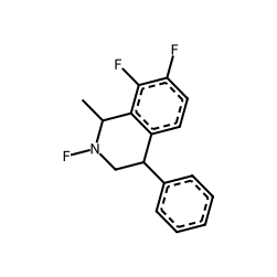 CC1c2c(ccc(F)c2F)C(c2ccccc2)CN1F